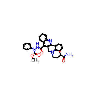 COC(=O)N(NC(=O)c1c(CN2CCC(C(N)=O)CC2)c(-c2ccccc2)nc2ccccc12)c1ccccc1